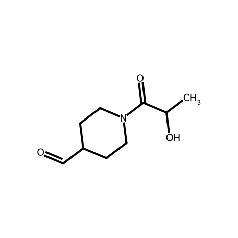 CC(O)C(=O)N1CCC(C=O)CC1